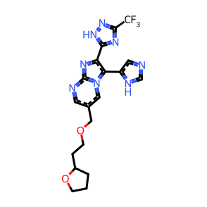 FC(F)(F)c1n[nH]c(-c2nc3ncc(COCCC4CCCO4)cn3c2-c2cnc[nH]2)n1